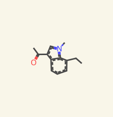 CCc1cccc2c(C(C)=O)cn(C)c12